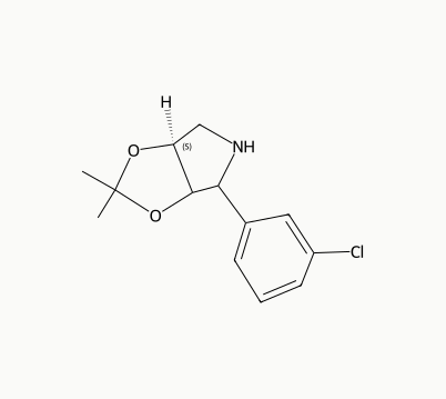 CC1(C)OC2C(c3cccc(Cl)c3)NC[C@@H]2O1